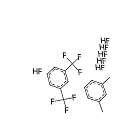 Cc1cccc(C)c1.F.F.F.F.F.F.FC(F)(F)c1cccc(C(F)(F)F)c1